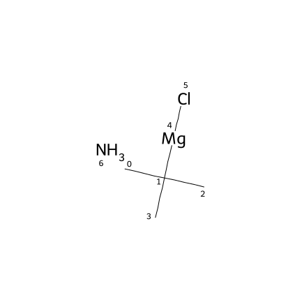 C[C](C)(C)[Mg][Cl].N